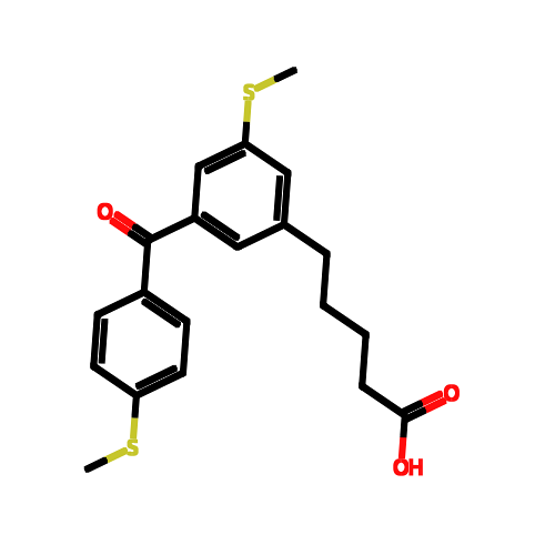 CSc1ccc(C(=O)c2cc(CCCCC(=O)O)cc(SC)c2)cc1